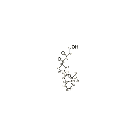 O=C(CCO)CC(=O)C1CCC(CCc2ccccc2C2(O)CC2)C1